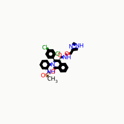 C[S+]([O-])N[C@H]1CCCCC1N1C(=O)c2ccccc2[C@@H](C(=O)NOCc2c[nH]cn2)[C@@H]1c1ccc(Cl)cc1Cl